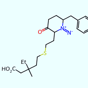 CCC(C)(CCSCCC1C(=O)CCC(Cc2ccccc2)[N+]1=[N-])CC(=O)O